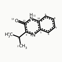 CC(C)c1nc2ccccc2[nH]c1=O